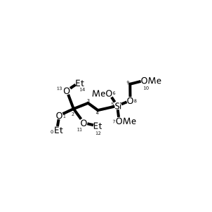 CCOC(CC[Si](OC)(OC)OCOC)(OCC)OCC